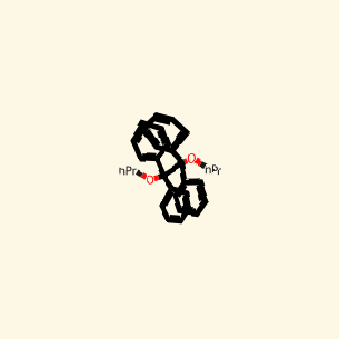 CCCOC(c1ccccc1)(c1ccccc1)C(OCCC)(c1ccccc1)c1ccccc1